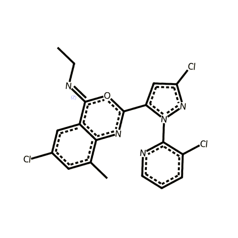 CC/N=c1\oc(-c2cc(Cl)nn2-c2ncccc2Cl)nc2c(C)cc(Cl)cc12